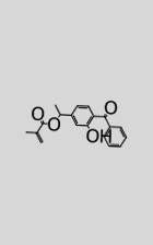 C=C(C)C(=O)OC(C)c1ccc(C(=O)c2ccccc2)c(O)c1